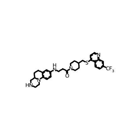 O=C(CCNc1ccc2c(c1)CCC1CNCCN21)N1CCC(CSc2ccnc3cc(C(F)(F)F)ccc23)CC1